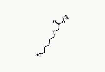 CCCCOC(=O)COCCOCCO